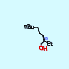 CCCCCC/C=C(/CC)CO